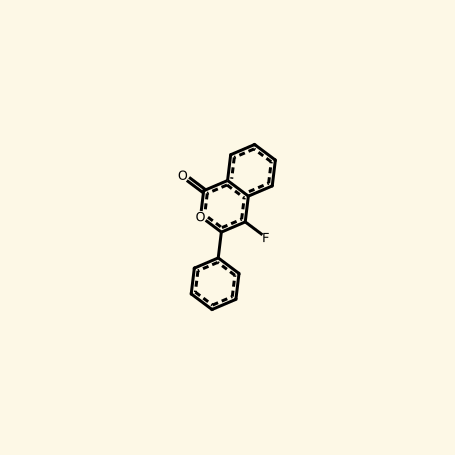 O=c1oc(-c2ccccc2)c(F)c2ccccc12